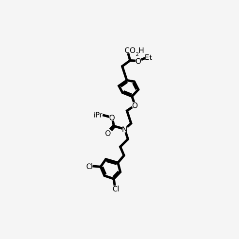 CCOC(Cc1ccc(OCCN(CCCc2cc(Cl)cc(Cl)c2)C(=O)OC(C)C)cc1)C(=O)O